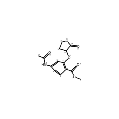 COC(=O)c1ccc(NC(C)=O)cc1OC1CCOC1=O